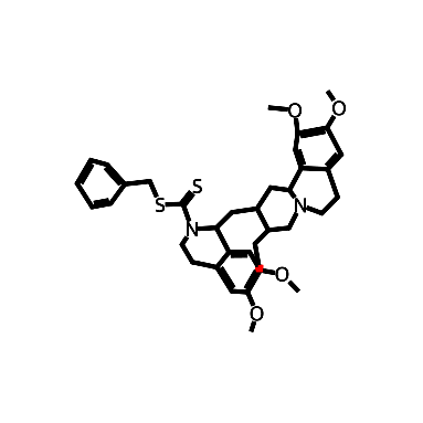 CCC1CN2CCc3cc(OC)c(OC)cc3C2CC1CC1c2cc(OC)c(OC)cc2CCN1C(=S)SCc1ccccc1